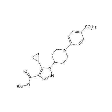 CCOC(=O)c1ccc(N2CCC(n3ncc(C(=O)OC(C)(C)C)c3C3CC3)CC2)cc1